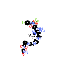 C[C@H](Oc1cc(-c2nn(C)c3c(-c4cnn(C5CCN(CC6CCN(c7cccc8c7C(=O)N(C7CCC(=O)NC7=O)C8=O)CC6)CC5)c4)cnc(N)c23)ccc1NS(=O)(=O)C(F)F)c1ccc(F)cc1